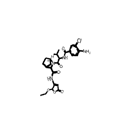 CCOC1OC(=O)CC1NC(=O)C1C2CC[C@H](C2)N1C(=O)C(NC(=O)c1ccc(N)c(Cl)c1)C(C)C